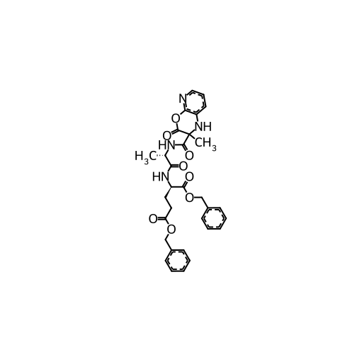 C[C@H](NC(=O)C1(C)Nc2cccnc2OC1=O)C(=O)N[C@H](CCC(=O)OCc1ccccc1)C(=O)OCc1ccccc1